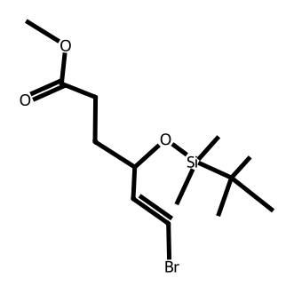 COC(=O)CCC(C=CBr)O[Si](C)(C)C(C)(C)C